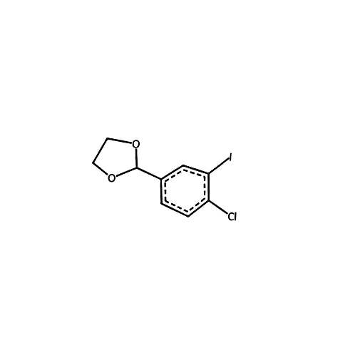 Clc1ccc(C2OCCO2)cc1I